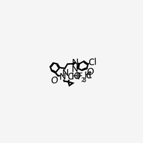 O=C(O)C1(Cn2nc(Cc3nc4cc(Cl)c(OC(F)(F)F)cc4[nH]3)c3ccccc3c2=O)CC1